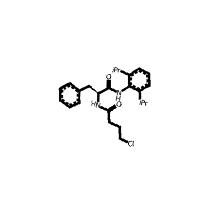 CC(C)c1cccc(C(C)C)c1NC(=O)[C@H](Cc1ccccc1)NC(=O)CCCCl